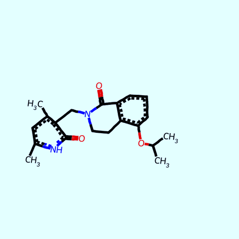 Cc1cc(C)c(CN2CCc3c(OC(C)C)cccc3C2=O)c(=O)[nH]1